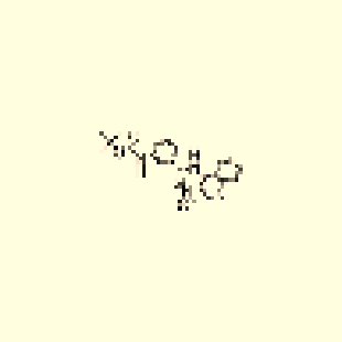 CC(C)(C)OC(=O)Nc1cccc(CNc2c([N+](=O)[O-])cnc3ccccc23)c1